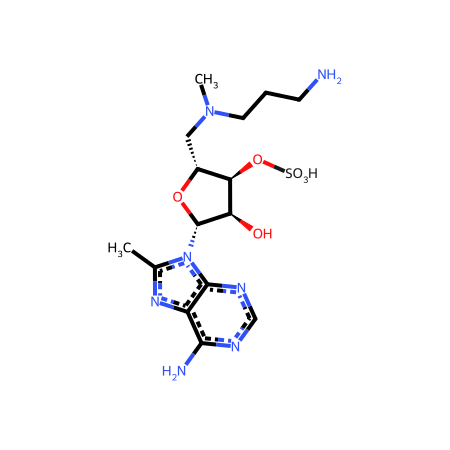 Cc1nc2c(N)ncnc2n1[C@@H]1O[C@H](CN(C)CCCN)[C@@H](OS(=O)(=O)O)[C@H]1O